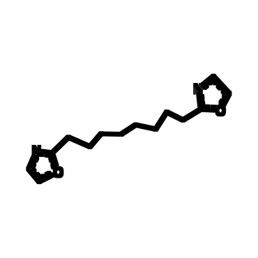 c1coc(CCCCCCCCc2ncco2)n1